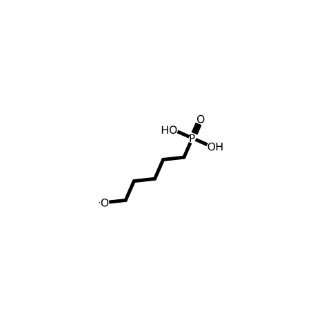 [O]CCCCCP(=O)(O)O